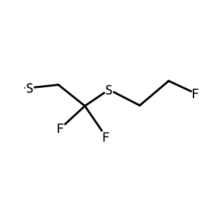 FCCSC(F)(F)C[S]